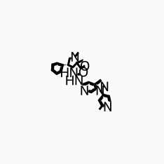 Cc1cc(-n2ncc3cc(NC(=O)N[C@H]4[C@H](c5ccccc5)CN(C)C45COC5)ncc32)ccn1